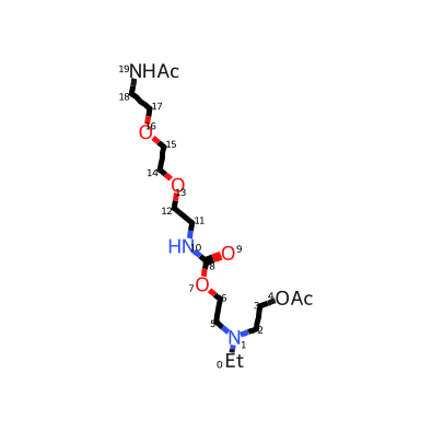 CCN(CCOC(C)=O)CCOC(=O)NCCOCCOCCNC(C)=O